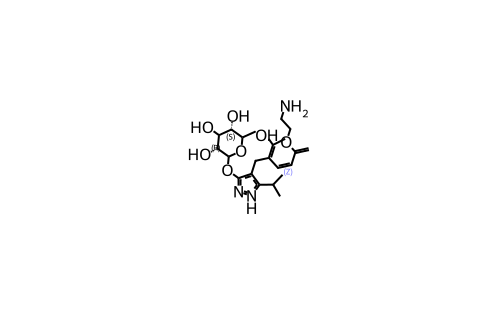 C=C(/C=C\C(Cc1c(OC2OC(CO)[C@@H](O)C(O)[C@H]2O)n[nH]c1C(C)C)=C(C)C)OCCN